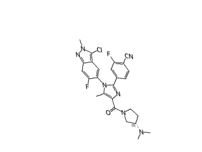 Cc1c(C(=O)N2CC[C@H](N(C)C)C2)nc(-c2ccc(C#N)c(F)c2)n1-c1cc2c(Cl)n(C)nc2cc1F